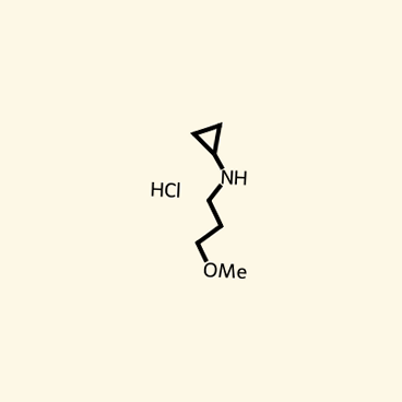 COCCCNC1CC1.Cl